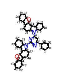 c1ccc(-c2cc(-n3c4ccccc4c4c5oc6ccccc6c5ccc43)nc(-n3c4ccccc4c4c5oc6ccccc6c5ccc43)n2)cc1